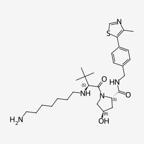 Cc1ncsc1-c1ccc(CNC(=O)[C@@H]2C[C@@H](O)CN2C(=O)[C@@H](NCCCCCCCN)C(C)(C)C)cc1